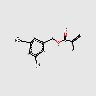 C=C(C)C(=O)OCc1cc(C#N)cc(C#N)c1